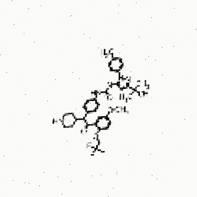 COc1ccc(OCC(F)(F)F)c(C(=O)C(c2ccc(NC(=O)Nc3cc(C(C)(C)C)nn3-c3ccc(C)cc3)cc2)C2CCNCC2)c1